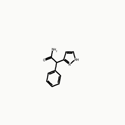 NC(=O)C(c1ccccc1)c1cc[nH]n1